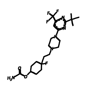 CC(C)(C)c1nc(N2CCN(CCC3(F)CCC(OC(N)=O)CC3)CC2)cc(C(F)(F)F)n1